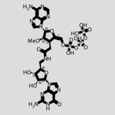 CO[C@@H]1[C@H](CC(=O)NC[C@H]2O[C@@H](n3cnc4c(=O)[nH]c(N)nc43)[C@H](O)[C@@H]2O)/C(=C\OP(=O)(O)OP(=O)(O)OP(=O)(O)O)O[C@H]1n1cnc2c(N)ncnc21